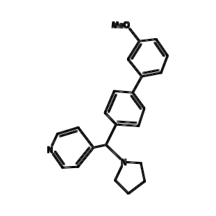 COc1cccc(-c2ccc(C(c3ccncc3)N3CCCC3)cc2)c1